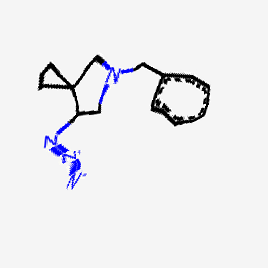 [N-]=[N+]=NC1CN(Cc2ccccc2)CC12CC2